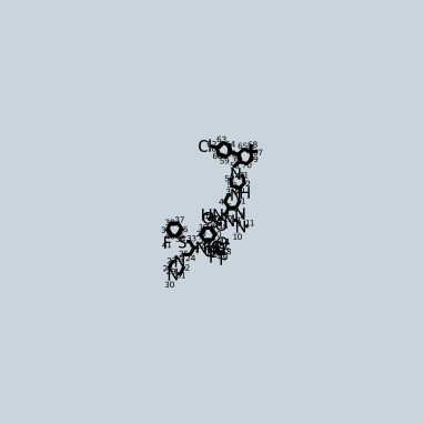 [2H]C1(N2CCc3c(nc(N(C)C)nc3NS(=O)(=O)c3ccc(NC(CCN4CCN(C)CC4)CSc4ccccc4F)c(S(=O)(=O)C(F)(F)F)c3)C2)CCN(CC2=C(c3ccc(Cl)cc3)CC(C)(C)CC2)CC1